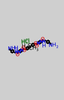 CC(C)(c1ccc(OC(=O)N2CCN(C(=O)NCc3ccc(CN)cc3)CC2)cc1)c1ccc(OC(=O)N2CCN(C(=O)NCc3ccc(CN)cc3)CC2)cc1.Cl.Cl